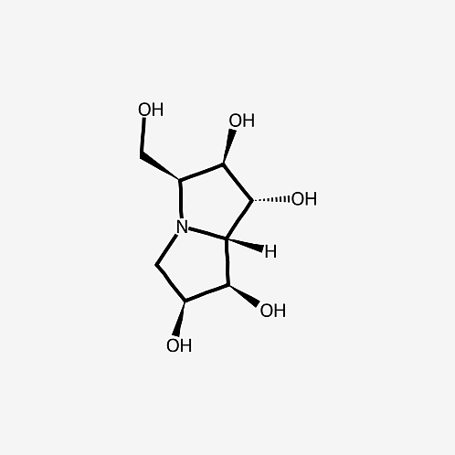 OC[C@H]1[C@@H](O)[C@H](O)[C@@H]2[C@@H](O)[C@@H](O)CN21